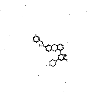 O=c1cc(N2CCOCC2)cc(-c2cccc3c2Oc2ccc(NCc4cncnc4)cc2C3)[nH]1